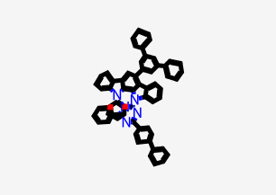 c1ccc(-c2ccc(-c3nc(-c4ccccc4)nc(-n4c5ccccc5c5c(-c6cc(-c7ccccc7)cc(-c7ccccc7)c6)cc6c7ccccc7n(-c7ccccc7)c6c54)n3)cc2)cc1